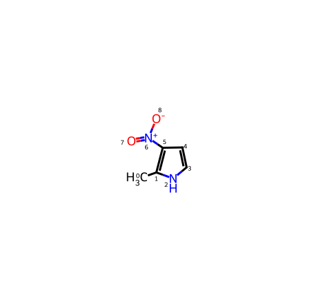 Cc1[nH]ccc1[N+](=O)[O-]